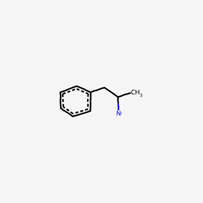 CC([N])Cc1ccccc1